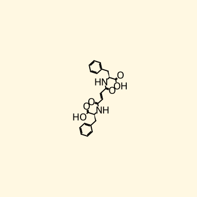 O=C(C=CC(=O)N[C@@H](Cc1ccccc1)C(=O)O)N[C@@H](Cc1ccccc1)C(=O)O